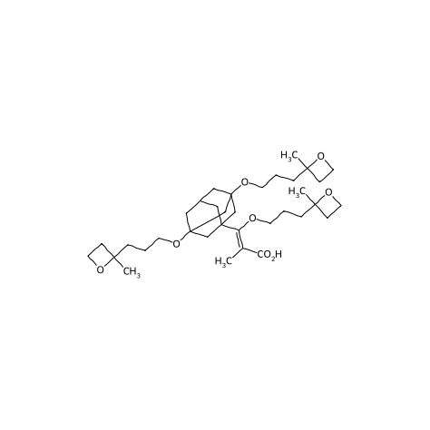 CC(C(=O)O)=C(OCCCC1(C)CCO1)C12CC3CC(OCCCC4(C)CCO4)(CC(OCCCC4(C)CCO4)(C3)C1)C2